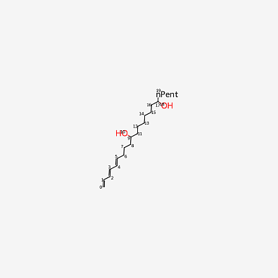 C=CC=CC=CCCCC(O)CCCCCCC(O)CCCCC